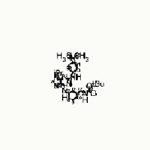 CC(C)n1cnc2c(Nc3cccc(CNC(=O)OC(C)(C)C)c3)nc(NC3CCC(N(C)C)CC3)nc21